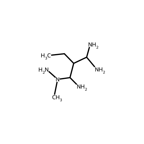 CCC(C(N)N)C(N)N(C)N